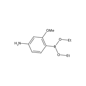 CCOB(OCC)c1ccc(N)cc1OC